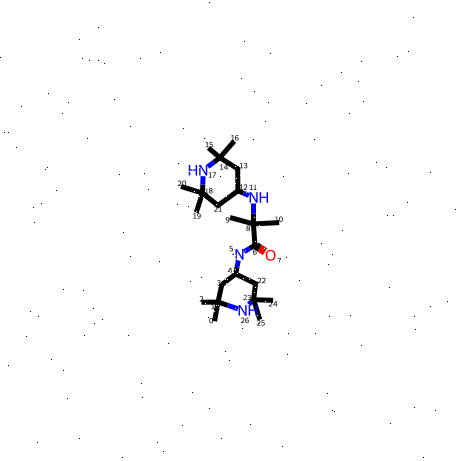 CC1(C)CC([N]C(=O)C(C)(C)NC2CC(C)(C)NC(C)(C)C2)CC(C)(C)N1